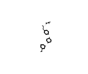 CC(Cc1ccc(Sc2ccc(Oc3cccc(C(=O)O)c3)cc2)cc1)NC(=O)C(F)(F)F